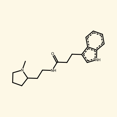 CN1CCCC1CCNC(=O)CCc1c[nH]c2ccccc12